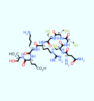 N=C(N)NCCC[C@H](NC(=O)[C@H](CS)NC(=O)[C@H](CS)NC(=O)[C@H](CS)NC(=O)[C@H](CS)NC(=O)[C@@H](N)CC(N)=O)C(=O)N[C@@H](CCCCN)C(=O)N[C@@H](CCC(=O)O)C(=O)N[C@@H](CO)C(=O)O